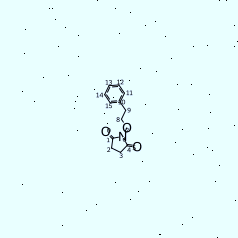 O=C1CCC(=O)N1OCCc1ccccc1